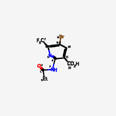 CCC(=O)Nc1nc(C(F)(F)F)c(Br)cc1C(=O)O